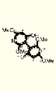 COc1cc(O)c(-c2c(O)cc(OC)nc2OC)c(OC)n1